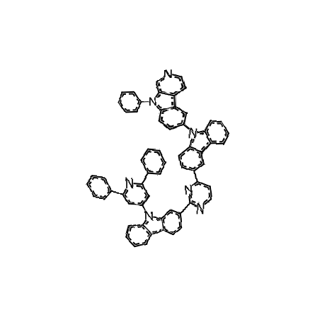 c1ccc(-c2cc(-n3c4ccccc4c4ccc(-c5nccc(-c6ccc7c(c6)c6ccccc6n7-c6ccc7c(c6)c6ccncc6n7-c6ccccc6)n5)cc43)cc(-c3ccccc3)n2)cc1